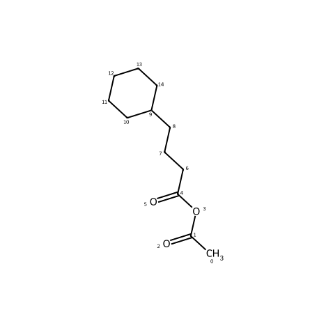 CC(=O)OC(=O)CCCC1CCCCC1